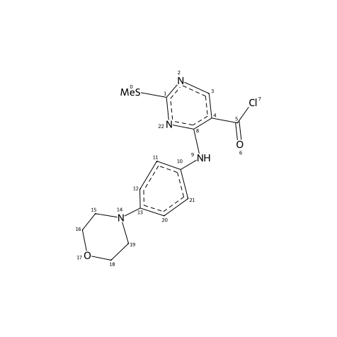 CSc1ncc(C(=O)Cl)c(Nc2ccc(N3CCOCC3)cc2)n1